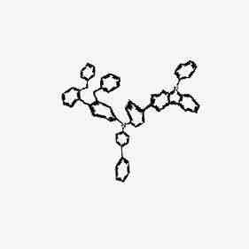 c1ccc(Cc2ccccc2-c2ccc(N(c3ccc(-c4ccccc4)cc3)c3ccc(-c4ccc5c(c4)c4ccccc4n5-c4ccccc4)cc3)cc2Cc2ccccc2)cc1